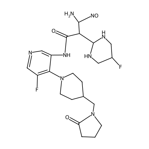 NC(N=O)C(C(=O)Nc1cncc(F)c1N1CCC(CN2CCCC2=O)CC1)C1NCC(F)CN1